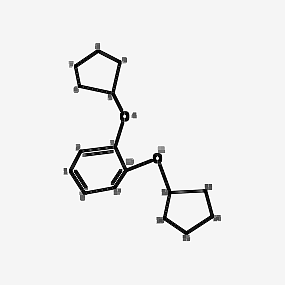 [c]1ccc(OC2CCCC2)c(OC2CCCC2)c1